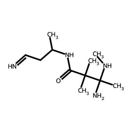 CNC(C)(N)C(C)(C)C(=O)NC(C)CC=N